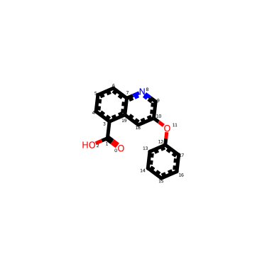 O=C(O)c1cccc2ncc(Oc3ccccc3)cc12